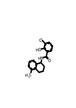 Cc1cccc2c1CCCC2NC(=O)c1cccc(Cl)c1O